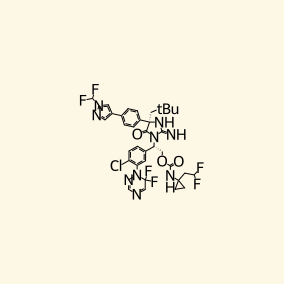 CC(C)(C)C[C@]1(c2ccc(-c3cnn(C(F)F)c3)cc2)NC(=N)N([C@H](COC(=O)NC2(CC(F)F)CC2)c2ccc(Cl)c(N3N=CN=CC3(F)F)c2)C1=O